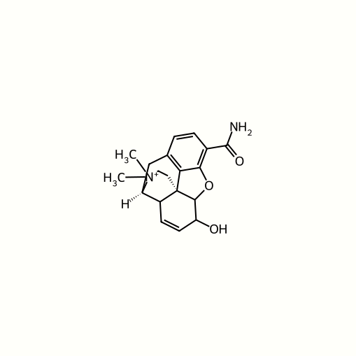 C[N+]1(C)CC[C@]23c4c5ccc(C(N)=O)c4OC2C(O)C=CC3[C@H]1C5